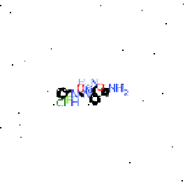 NC(=O)c1nn(CC(=O)NCc2cccc(Cl)c2F)c2cccc([C@H]3C[C@H](N)C3)c12